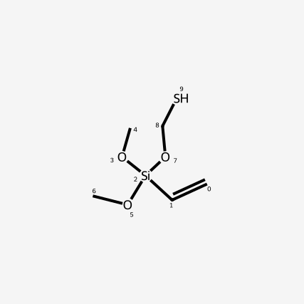 C=C[Si](OC)(OC)OCS